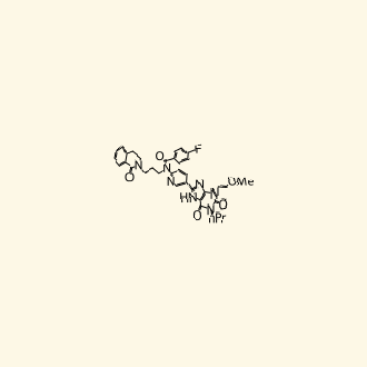 CCCn1c(=O)c2[nH]c(-c3ccc(N(CCCN4CCc5ccccc5C4=O)C(=O)c4ccc(F)cc4)nc3)nc2n(CCOC)c1=O